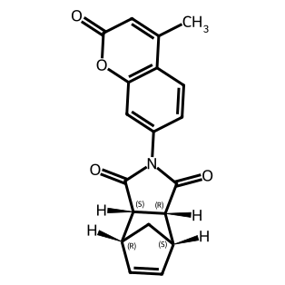 Cc1cc(=O)oc2cc(N3C(=O)[C@@H]4[C@H](C3=O)[C@@H]3C=C[C@H]4C3)ccc12